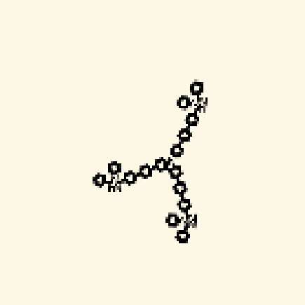 c1ccc(-c2nnc(-c3ccc(-c4ccc(-c5ccc(-n6c7ccc(-c8ccc(-c9ccc(-c%10nnc(-c%11ccccc%11)n%10-c%10ccccc%10)cc9)cc8)cc7c7cc(-c8ccc(-c9ccc(-c%10nnc(-c%11ccccc%11)n%10-c%10ccccc%10)cc9)cc8)ccc76)cc5)cc4)cc3)n2-c2ccccc2)cc1